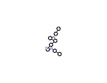 c1ccc(-c2ccc(-n3c4cc(-c5cccc6c5c5ccccc5n6-c5ccc(-c6ccccc6)cc5)ccc4c4ncccc43)cc2)cc1